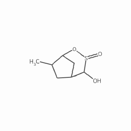 CC1CC2CC1OS(=O)C2O